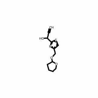 C#CC(O)c1nc(COC2CCCCO2)cs1